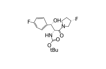 CC(C)(C)OC(=O)N[C@@H](C(=O)N1CC[C@H](F)C1)[C@@H](O)c1ccc(F)cc1